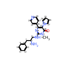 Cn1c(NC[C@@H](N)Cc2ccccc2)nc(-c2ccncc2)c(-n2cccc2)c1=O